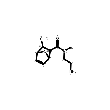 CN(CCN)C(=O)C1C2C=CC(O2)C1C=O